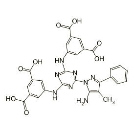 Cc1c(-c2ccccc2)nn(-c2nc(Nc3cc(C(=O)O)cc(C(=O)O)c3)nc(Nc3cc(C(=O)O)cc(C(=O)O)c3)n2)c1N